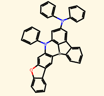 c1ccc(N(c2ccccc2)c2cc3c4c(c2)N(c2ccccc2)c2cc5oc6ccccc6c5cc2B4c2ccccc2-3)cc1